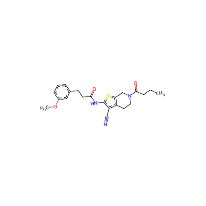 CCCC(=O)N1CCc2c(sc(NC(=O)CCc3cccc(OC)c3)c2C#N)C1